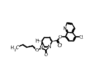 CCCCON1C(=O)N2C[C@@H]1CC[C@H]2C(=O)Oc1ccc(Cl)c2cccnc12